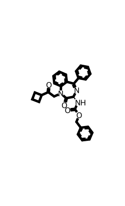 O=C(N[C@H]1N=C(c2ccccc2)c2ccccc2N(CC(=O)C2CCC2)C1=O)OCc1ccccc1